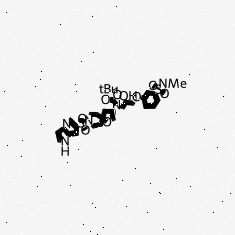 CNS(=O)(=O)c1cccc(OC[C@@H](O)CN(C(=O)OC(C)(C)C)[C@H]2COC3(CCN(S(=O)(=O)c4cnc5cc[nH]c5c4)CC3)C2)c1